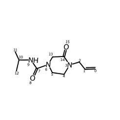 C=CCN1CCN(C(=O)NC(C)C)CC1=O